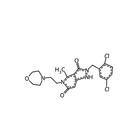 Cc1c2c(=O)n(Cc3cc(Cl)ccc3Cl)[nH]c2cc(=O)n1CCN1CCOCC1